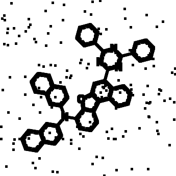 c1ccc(-c2nc(-c3ccccc3)nc(-c3cc4oc5c(N(c6ccc7ccccc7c6)c6ccc7ccccc7c6)cccc5c4c4ccccc34)n2)cc1